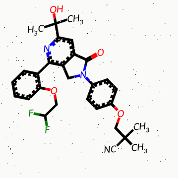 CC(C)(C#N)COc1ccc(N2Cc3c(cc(C(C)(C)O)nc3-c3ccccc3OCC(F)F)C2=O)cc1